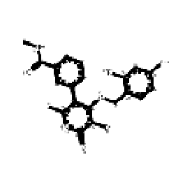 CNC(=O)c1cccc(-c2c(C)[nH]c(=O)c(Br)c2OCc2ccc(F)cc2F)c1